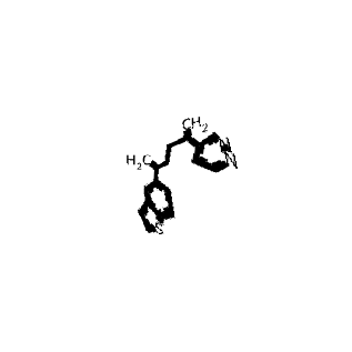 C=C(CCC(=C)c1ccc2sccc2c1)c1ccnnc1